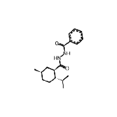 CC(C)[C@@H]1CC[C@@H](C)C[C@H]1C(=O)NNC(=O)c1ccccc1